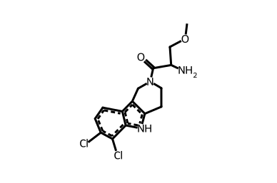 COCC(N)C(=O)N1CCc2[nH]c3c(Cl)c(Cl)ccc3c2C1